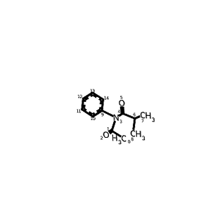 CC(=O)N(C(=O)C(C)C)c1ccccc1